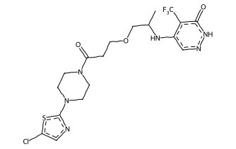 CC(COCCC(=O)N1CCN(c2ncc(Cl)s2)CC1)Nc1cn[nH]c(=O)c1C(F)(F)F